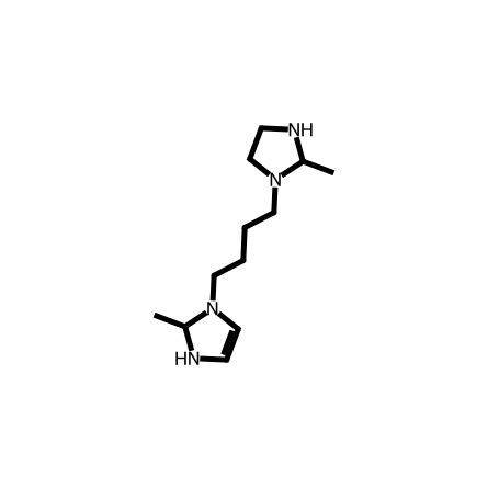 CC1NC=CN1CCCCN1CCNC1C